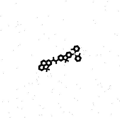 C/C(=C(/C)c1cc2c3c(ccc4cccc(c43)C2(C)C)c1)c1ccc2c(c1)C(C)(C)c1cc(N(c3ccccc3C)c3ccccc3C)ccc1-2